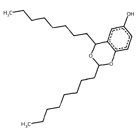 CCCCCCCCC1Oc2ccc(O)cc2C(CCCCCCCC)O1